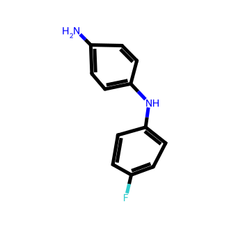 Nc1ccc(Nc2ccc(F)cc2)cc1